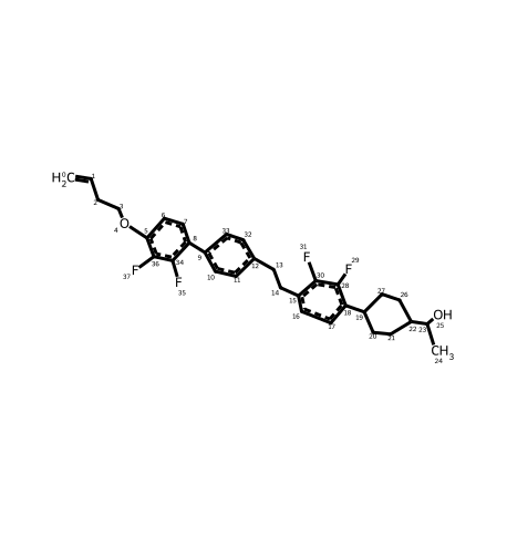 C=CCCOc1ccc(-c2ccc(CCc3ccc(C4CCC(C(C)O)CC4)c(F)c3F)cc2)c(F)c1F